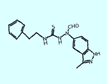 Cc1n[nH]c2ccc(N(C=O)NC(=S)NCCc3ccccc3)cc12